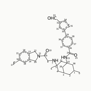 CC1CC2CC(C)(NCC(=O)N3Cc4ccc(F)cc4C3)CC(NC(=O)c3ccc(-c4cc(C=O)cs4)cc3)(C1)C2